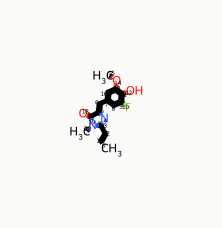 C/C=C/C1=NC(=C\c2cc(F)c(O)c(OC)c2)/C(=O)N1C